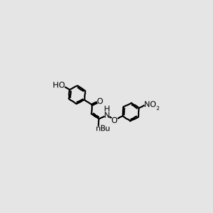 CCCCC(=CC(=O)c1ccc(O)cc1)NOc1ccc([N+](=O)[O-])cc1